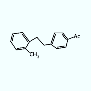 CC(=O)c1ccc(CCc2ccccc2C)cc1